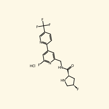 Cl.O=C(NCc1cc(-c2ccc(C(F)(F)F)cn2)cc(F)n1)[C@H]1C[C@@H](F)CN1